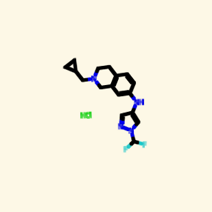 Cl.FC(F)n1cc(Nc2ccc3c(c2)CN(CC2CC2)CC3)cn1